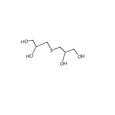 OCC(O)CSCC(O)CO